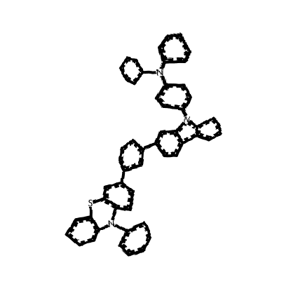 c1ccc(N(c2ccccc2)c2ccc(-n3c4ccccc4c4ccc(-c5cccc(-c6ccc7c(c6)Sc6ccccc6N7c6ccccc6)c5)cc43)cc2)cc1